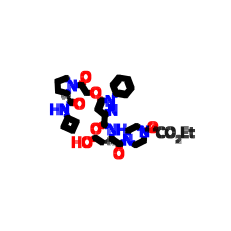 CCOC(=O)ON1CCN(C(=O)[C@H](CCO)NC(=O)c2cc(OCC(=O)N3CCC[C@H]3C(=O)NC3CCC3)n(-c3ccccc3)n2)CC1